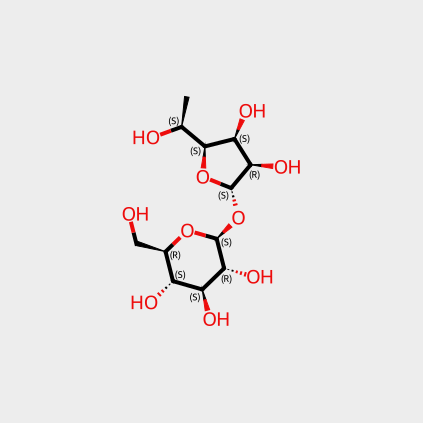 C[C@H](O)[C@@H]1O[C@@H](O[C@@H]2O[C@H](CO)[C@@H](O)[C@H](O)[C@H]2O)[C@H](O)[C@@H]1O